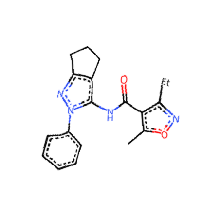 CCc1noc(C)c1C(=O)Nc1c2c(nn1-c1ccccc1)CCC2